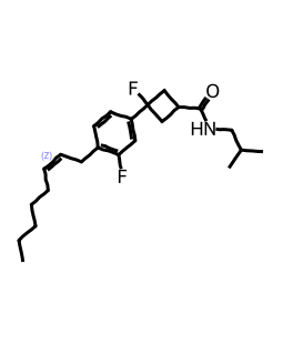 CCCCC/C=C\Cc1ccc(C2(F)CC(C(=O)NCC(C)C)C2)cc1F